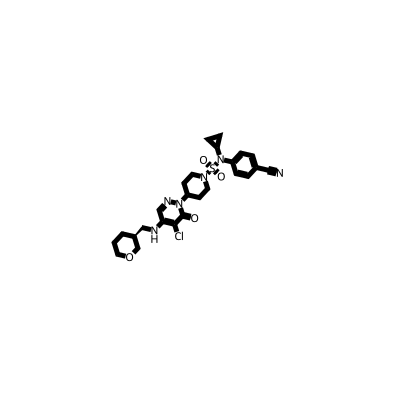 N#Cc1ccc(N(C2CC2)S(=O)(=O)N2CCC(n3ncc(NC[C@@H]4CCCOC4)c(Cl)c3=O)CC2)cc1